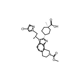 COC(=O)N1CCc2ccc3c(nc([C@H]4CC[C@](C)(C(=O)O)CC4)n3[C@@H](C)Cn3cc(Cl)cn3)c2C1